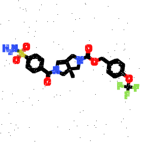 C[C@@]12CN(C(=O)c3ccc(S(N)(=O)=O)cc3)C=C1CN(C(=O)OCc1ccc(OC(F)(F)F)cc1)C2